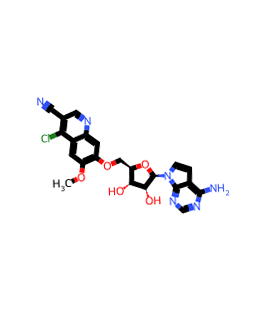 COc1cc2c(Cl)c(C#N)cnc2cc1OC[C@H]1O[C@@H](n2ccc3c(N)ncnc32)[C@H](O)[C@@H]1O